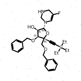 CC[Si](C#C[C@]1(COCc2ccccc2)O[C@@H](N2C=C(F)CNC2)[C@H](O)[C@@H]1OCc1ccccc1)(CC)CC